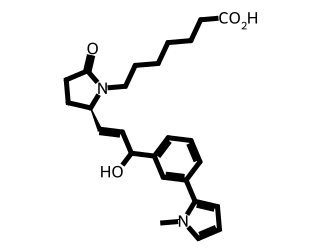 Cn1cccc1-c1cccc(C(O)/C=C/[C@H]2CCC(=O)N2CCCCCCC(=O)O)c1